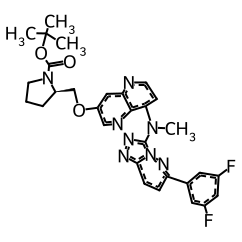 CN(c1ccnc2cc(OC[C@H]3CCCN3C(=O)OC(C)(C)C)cnc12)c1nnc2ccc(-c3cc(F)cc(F)c3)nn12